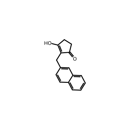 O=C1CCC(O)=C1Cc1ccc2ccccc2c1